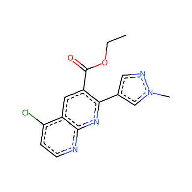 CCOC(=O)c1cc2c(Cl)ccnc2nc1-c1cnn(C)c1